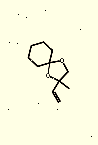 C=CC1(C)COC2(CCCCC2)O1